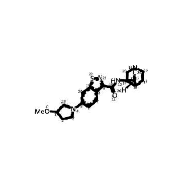 COC1CCN(c2ccc3c(C(=O)N[C@@H]4CN5CCC4CC5)nsc3c2)C1